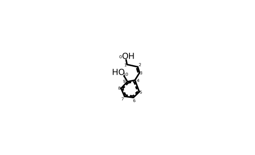 OC/C=C\c1ccccc1O